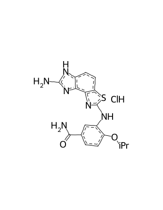 CC(C)Oc1ccc(C(N)=O)cc1Nc1nc2c(ccc3[nH]c(N)nc32)s1.Cl